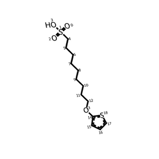 O=S(=O)(O)CCCCCCCCCOc1cccs1